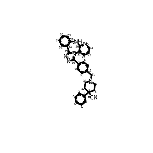 N#CC1(c2ccccc2)CCN(Cc2ccc(-c3nnc4n3-c3cccnc3Nc3ccccc3-4)cc2)CC1